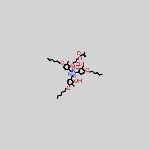 C=C(C)C(=O)OCC(O)COc1c(-c2nc(-c3ccc(OCCCCCC)c(C)c3O)nc(-c3ccc(OCCCCCC)c(C)c3O)n2)ccc(OCCCCCC)c1C